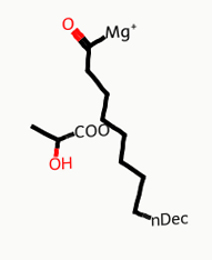 CC(O)C(=O)[O-].CCCCCCCCCCCCCCCCC[C](=O)[Mg+]